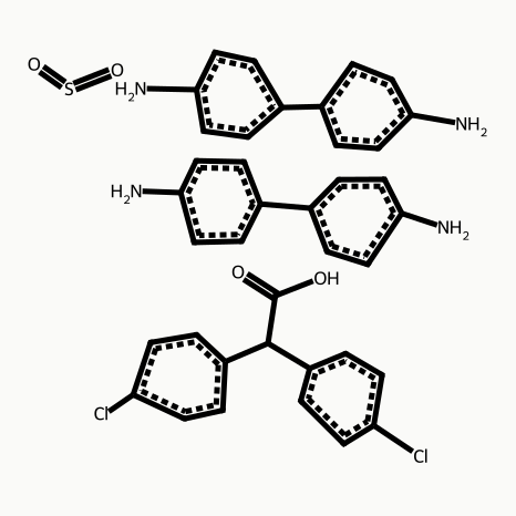 Nc1ccc(-c2ccc(N)cc2)cc1.Nc1ccc(-c2ccc(N)cc2)cc1.O=C(O)C(c1ccc(Cl)cc1)c1ccc(Cl)cc1.O=S=O